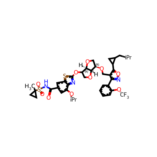 CC(C)CC1CC1c1onc(-c2ccccc2OC(F)(F)F)c1CO[C@@H]1CO[C@@H]2C(Oc3nc4c(OC(C)C)cc(C(=O)NS(=O)(=O)C5(C)CC5)cc4s3)CO[C@@H]21